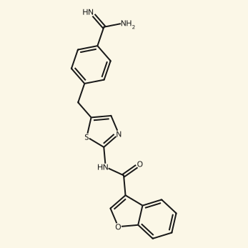 N=C(N)c1ccc(Cc2cnc(NC(=O)c3coc4ccccc34)s2)cc1